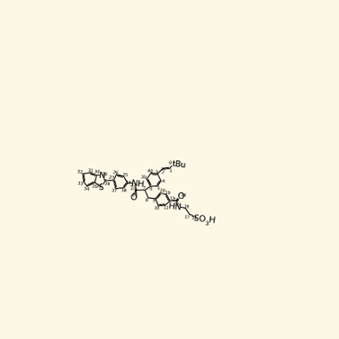 CC(C)(C)/C=C/c1ccc(C(Cc2ccc(C(=O)NCCS(=O)(=O)O)cc2)C(=O)Nc2ccc(-c3nc4ccccc4s3)cc2)cc1